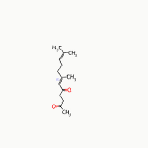 CC(=O)CCC(=O)/C=C(\C)CCC=C(C)C